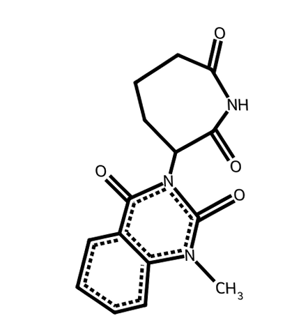 Cn1c(=O)n(C2CCCC(=O)NC2=O)c(=O)c2ccccc21